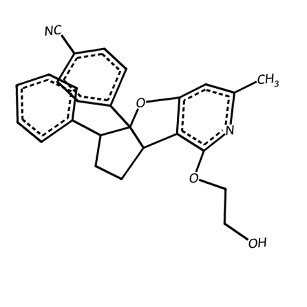 Cc1cc2c(c(OCCO)n1)C1CCC(c3ccccc3)C1(c1ccc(C#N)cc1)O2